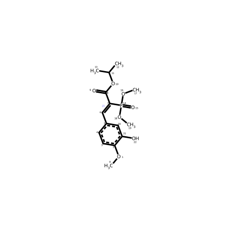 COc1ccc(/C=C(/C(=O)OC(C)C)P(=O)(OC)OC)cc1O